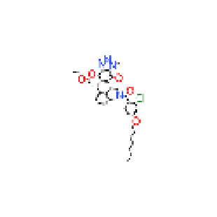 CCCCCCCOc1ccc(C(=O)N2CCc3c(cccc3[C@H](CC(=O)OCC)c3cc(OC)c4c(c3)nnn4C)C2)c(Cl)c1